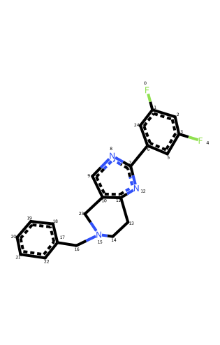 Fc1cc(F)cc(-c2ncc3c(n2)CCN(Cc2ccccc2)C3)c1